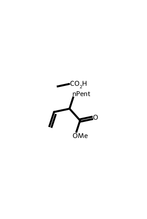 C=CC(CCCCC)C(=O)OC.CC(=O)O